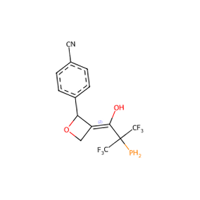 N#Cc1ccc(C2OC/C2=C(/O)C(P)(C(F)(F)F)C(F)(F)F)cc1